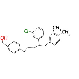 Cc1ccc(CC(CCCc2ccc(CO)cc2)c2cccc(Cl)c2)cc1C